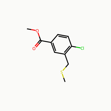 COC(=O)c1ccc(Cl)c(CSC)c1